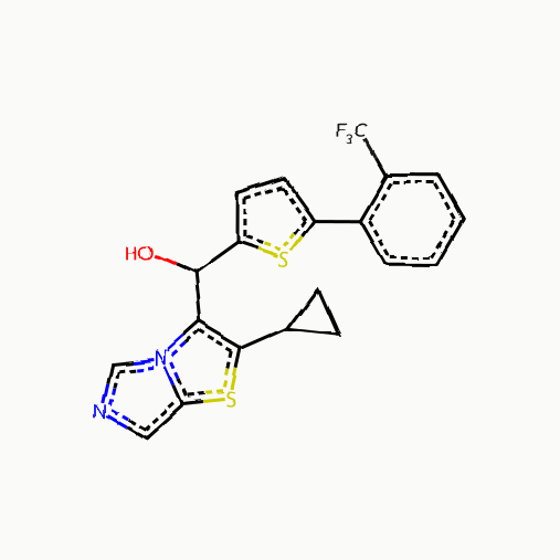 OC(c1ccc(-c2ccccc2C(F)(F)F)s1)c1c(C2CC2)sc2cncn12